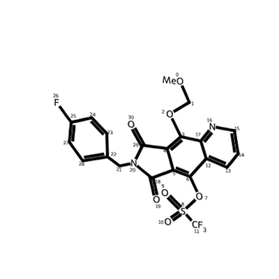 COCOc1c2c(c(OS(=O)(=O)C(F)(F)F)c3cccnc13)C(=O)N(Cc1ccc(F)cc1)C2=O